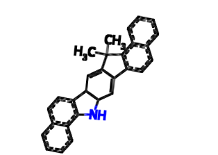 CC1(C)C2=CC3c4ccc5ccccc5c4NC3C=C2c2ccc3ccccc3c21